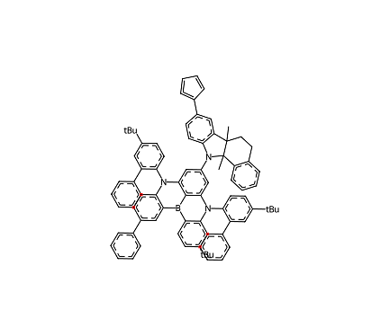 CC(C)(C)c1ccc(N2c3ccc(-c4ccccc4)cc3B3c4ccc(C(C)(C)C)cc4N(c4ccc(C(C)(C)C)cc4-c4ccccc4)c4cc(N5c6ccc(C7=C=CC=C7)cc6C6(C)CCc7ccccc7C56C)cc2c43)c(-c2ccccc2)c1